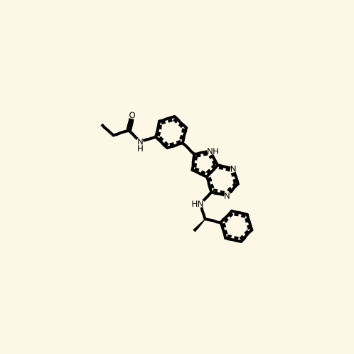 CCC(=O)Nc1cccc(-c2cc3c(N[C@H](C)c4ccccc4)ncnc3[nH]2)c1